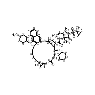 C=C[C@H](C)C(C)(NC(=O)[C@@H]1C[C@@H]2CN1C(=O)[C@H](C1CCOCC1)NC(=O)O[C@@H]1C[C@H]1CCCCCc1c(nc3ccccc3c1OC1CCN(C)CC1)O2)C(=O)NS(=O)(=O)C1(C)CC1